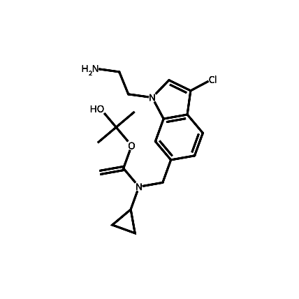 C=C(OC(C)(C)O)N(Cc1ccc2c(Cl)cn(CCN)c2c1)C1CC1